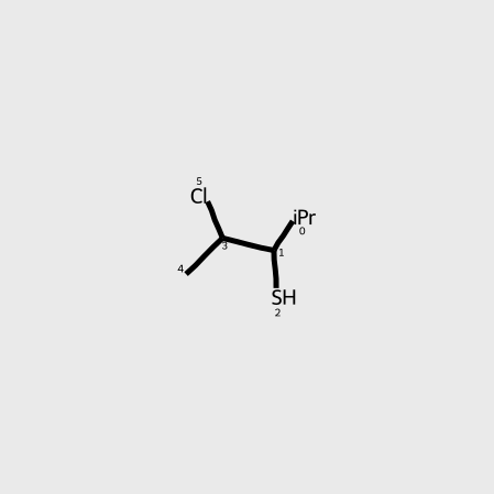 CC(C)C(S)C(C)Cl